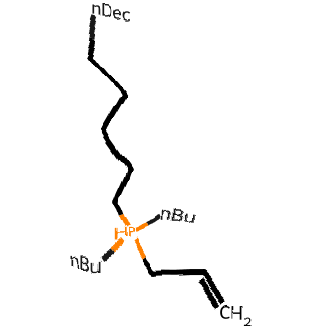 C=CC[PH](CCCC)(CCCC)CCCCCCCCCCCCCCC